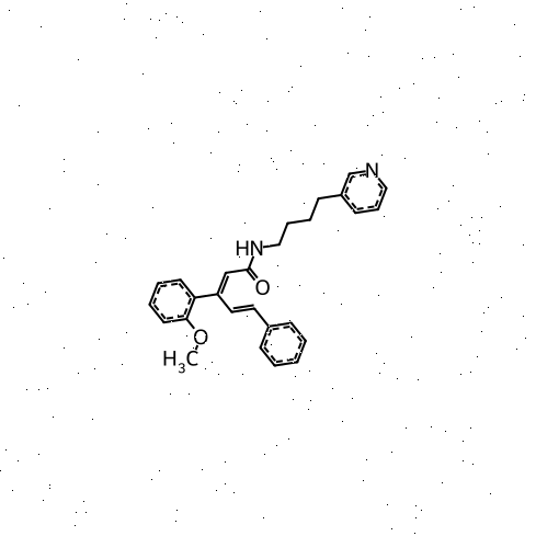 COc1ccccc1C(C=Cc1ccccc1)=CC(=O)NCCCCc1cccnc1